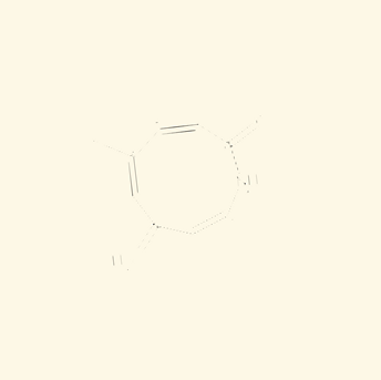 C=c1cc[nH]c(=C)ccc(C(C)C)c1